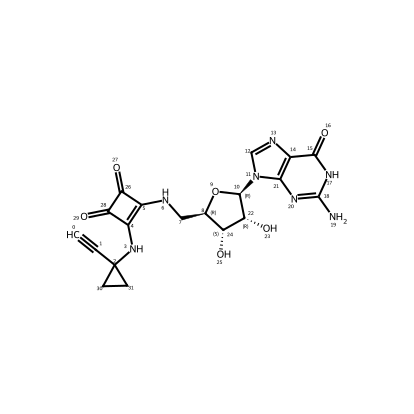 C#CC1(Nc2c(NC[C@H]3O[C@@H](n4cnc5c(=O)[nH]c(N)nc54)[C@H](O)[C@@H]3O)c(=O)c2=O)CC1